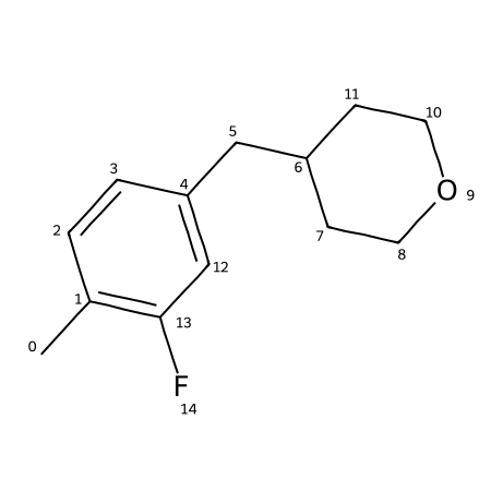 Cc1ccc(CC2CCOCC2)cc1F